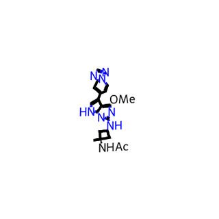 COc1nc(N[C@H]2C[C@](C)(NC(C)=O)C2)nc2[nH]cc(-c3ccn4ncnc4c3)c12